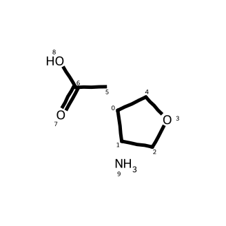 C1CCOC1.CC(=O)O.N